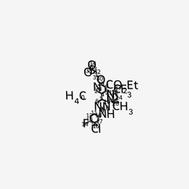 C.CCOC(=O)c1cc(-c2cnc(Nc3ccc(F)c(Cl)c3)nc2-n2nc(C(F)(F)F)cc2C)cnc1OCC=S(=O)=O